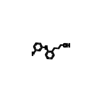 OCCCc1ccccc1Sc1cccc(F)c1